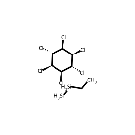 CC[SiH2][SiH3].Cl[C@H]1[C@H](Cl)[C@@H](Cl)[C@@H](Cl)[C@H](Cl)[C@H]1Cl